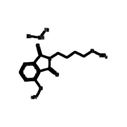 CCCOc1cccc2c1C(=O)N(CCCCO[N+](=O)[O-])C2=O.CCNCC